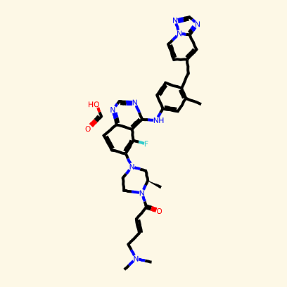 Cc1cc(Nc2ncnc3ccc(N4CCN(C(=O)/C=C/CN(C)C)[C@H](C)C4)c(F)c23)ccc1Cc1ccn2ncnc2c1.O=CO